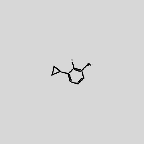 C[C](C)c1cccc(C2CC2)c1F